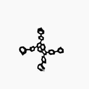 c1ccc(-c2ccc(-c3cc(-c4ccc(-c5ccccc5)cc4)c4ccc5c(-c6ccc(-c7cccnc7)cc6)cc(-c6ccc(-c7ccccc7)cc6)c6ccc3c4c65)cc2)cc1